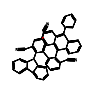 N#Cc1cc(C#N)c(-n2c3ccccc3c3ccccc32)c(-c2cccc(C#N)c2-c2c3ccccc3c(-c3ccccc3)c3ccccc23)c1